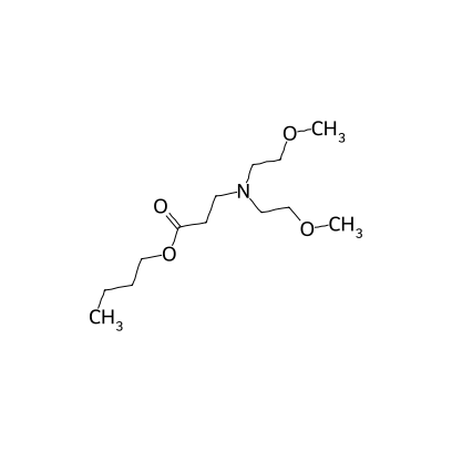 CCCCOC(=O)CCN(CCOC)CCOC